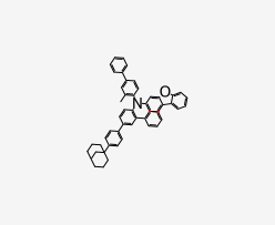 Cc1cc(-c2ccccc2)ccc1N(c1ccc2c(c1)oc1ccccc12)c1ccc(-c2ccc(C34CCCC(CCC3)C4)cc2)cc1-c1ccccc1